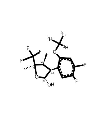 [2H]C([2H])([2H])Oc1cc(F)c(F)cc1[C@H]1[C@H](O)O[C@@](C)(C(F)(F)F)[C@H]1C